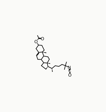 CC(=O)OC1CC[C@@]2(C)C(=CCC3C2CC[C@@]2(C)C3CC[C@@H]2[C@H](C)CCCC(C)(C)N=C=O)C1